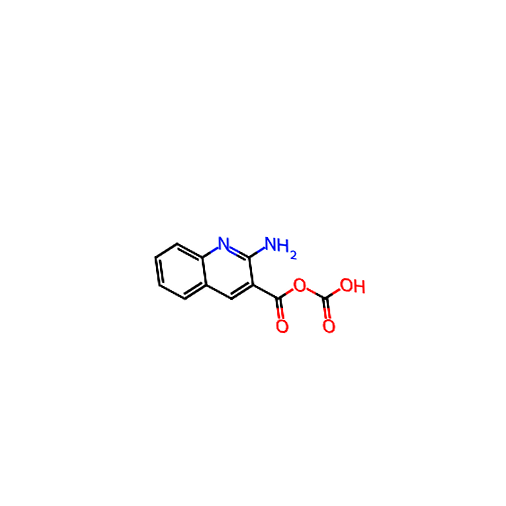 Nc1nc2ccccc2cc1C(=O)OC(=O)O